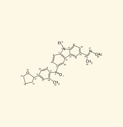 CCn1c2ccc(C(=O)c3ccc(C4CCCO4)cc3C)cc2c2cc(/C(C)=N/OC(C)=O)ccc21